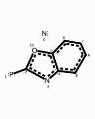 [N].[P]c1nc2ccccc2o1